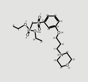 CCOP(=O)(CS(=O)(=O)c1cccc(OCCCN2CCOCC2)c1)OCC